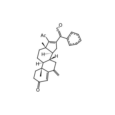 C=C1C[C@@H]2[C@H](CC[C@]3(C)C(C(C)=O)=C(C(=S=O)c4ccccc4)C[C@@H]23)[C@@]2(C)CCC(=O)C=C12